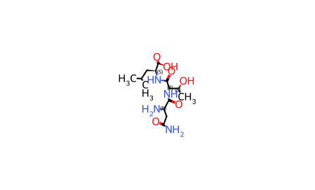 CC(C)C[C@H](NC(=O)[C@H](NC(=O)[C@H](N)CC(N)=O)[C@H](C)O)C(=O)O